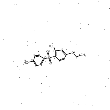 CCOc1ccc(S(=O)(=O)c2ccc(O)cc2)c(C)c1